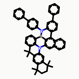 CC1(C)CCC(C)(C)c2cc3c(cc21)N1c2cc4ccccc4c4c2B(c2cccc(c21)C3(C)C)N(c1ccc(-c2ccccc2)cc1)c1cc(-c2ccccc2)ccc1-4